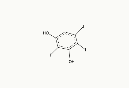 Oc1cc(I)c(I)c(O)c1I